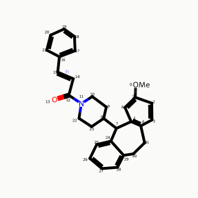 COc1ccc2c(c1)C(C1CCN(C(=O)/C=C/c3ccccc3)CC1)c1ccccc1CC2